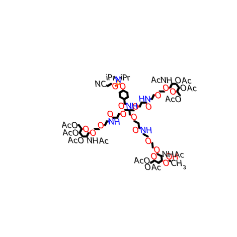 CC(=O)NC1C(OCCOCCNC(=O)CCOCC(COCCC(=O)NCCOCCOC2OC(COC(C)=O)C(OC(C)=O)C(OC(C)=O)C2NC(C)=O)(COCCC(=O)NCCOCCOC2OC(COC(C)=O)C(OC(C)=O)C(OC(C)O)C2NC(C)=O)NC(=O)C2CCC(OP(OCCC#N)N(C(C)C)C(C)C)CC2)OC(COC(C)=O)C(OC(C)=O)C1OC(C)=O